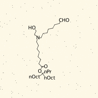 CCCCCCCCC(CCC)(CCCCCCCC)OC(=O)CCCCCCCN(CCO)CCCCCCCC=O